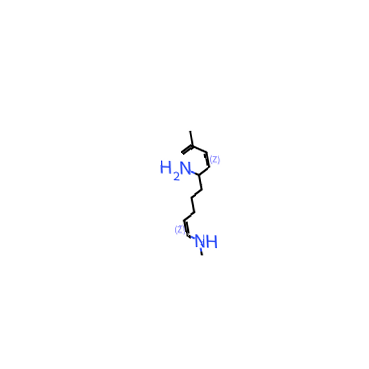 C=C(C)/C=C\C(N)CCC/C=C\NC